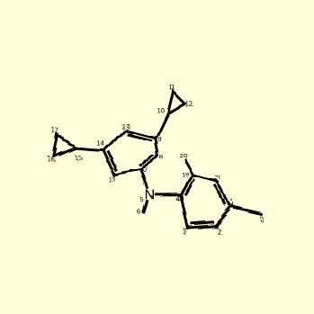 Cc1ccc(N(C)c2cc(C3CC3)cc(C3CC3)c2)c(C)c1